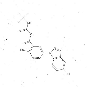 CC(C)(C)NC(=O)Oc1c[nH]c2ncc(-n3ncc4cc(Cl)ccc43)nc12